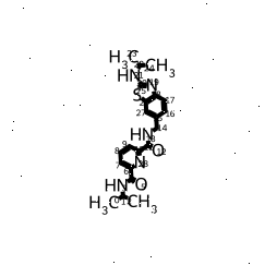 CC(C)NC(=O)c1cccc(C(=O)NCc2ccc3nc(NC(C)C)sc3c2)n1